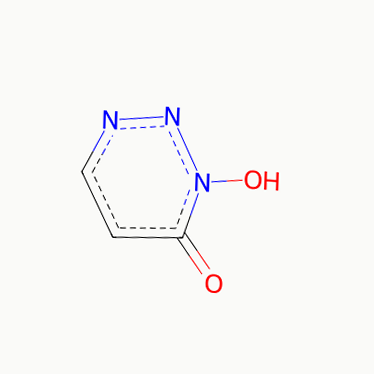 O=c1ccnnn1O